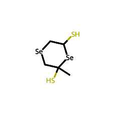 CC1(S)C[Se]CC(S)[Se]1